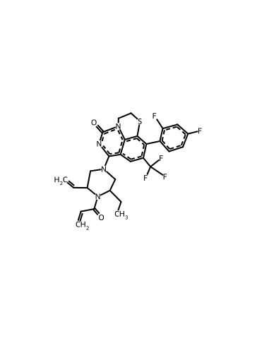 C=CC(=O)N1C(C=C)CN(c2nc(=O)n3c4c(c(-c5ccc(F)cc5F)c(C(F)(F)F)cc24)SCC3)CC1CC